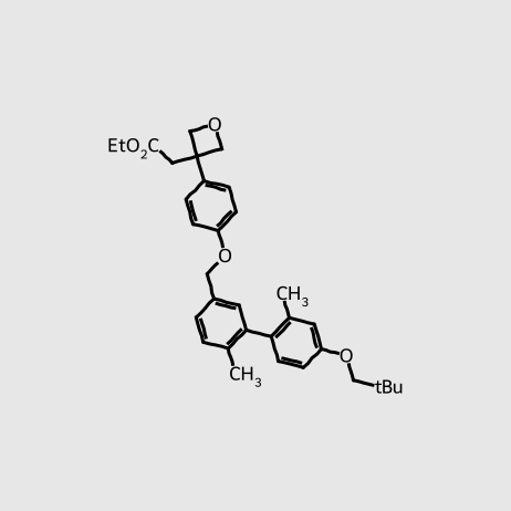 CCOC(=O)CC1(c2ccc(OCc3ccc(C)c(-c4ccc(OCC(C)(C)C)cc4C)c3)cc2)COC1